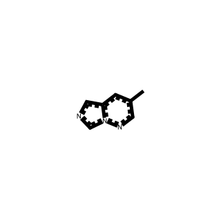 Cc1cnn2cncc2c1